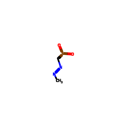 CN=NC=S(=O)=O